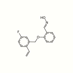 C=Cc1ccc(F)cc1COc1ccccc1/C=N/O